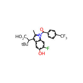 Cc1c(C(C(=O)O)C(C)(C)C)c2cc(O)c(F)cc2n1C(=O)c1ccc(C(F)(F)F)cc1